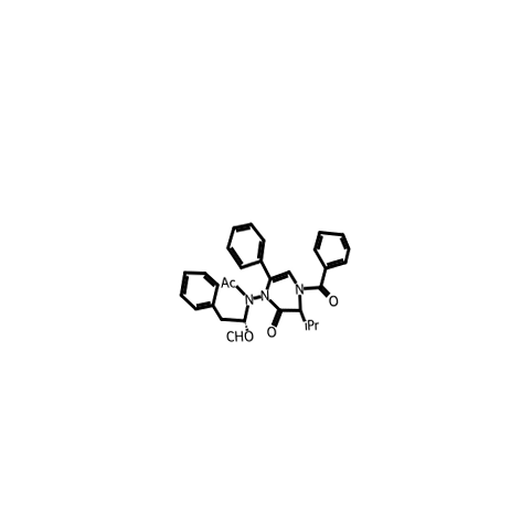 CC(=O)N([C@H](C=O)Cc1ccccc1)N1C(=O)C(C(C)C)N(C(=O)c2ccccc2)C=C1c1ccccc1